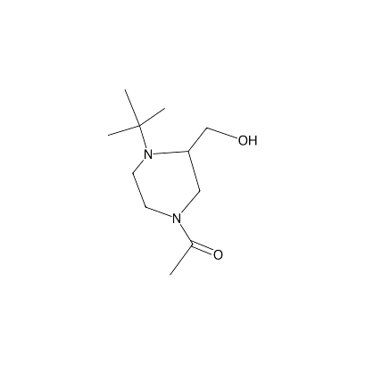 CC(=O)N1CCN(C(C)(C)C)C(CO)C1